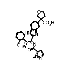 CC(C)[C@@H](c1ccccc1Cl)[C@H](NC(=O)c1ccnn1C)c1nc2cc(C3(C(=O)O)CCOC3)ccc2[nH]1